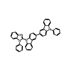 c1ccc(-n2c(-n3c4ccccc4c4cc(-c5ccc6c(c5)c5ccccc5n6-c5ccccc5)ccc43)nc3ccccc32)cc1